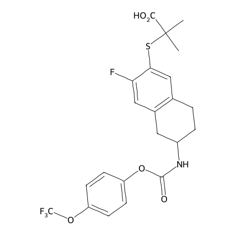 CC(C)(Sc1cc2c(cc1F)CC(NC(=O)Oc1ccc(OC(F)(F)F)cc1)CC2)C(=O)O